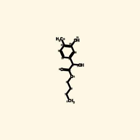 CCCCOC(=O)C(O)c1ccc(C)c(O)c1